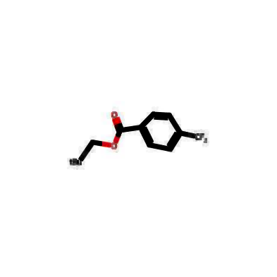 CC(C)(C)COC(=O)c1[c]cc(C(F)(F)F)cc1